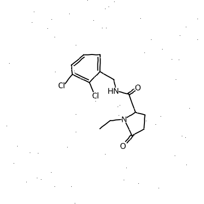 CCN1C(=O)CCC1C(=O)NCc1cccc(Cl)c1Cl